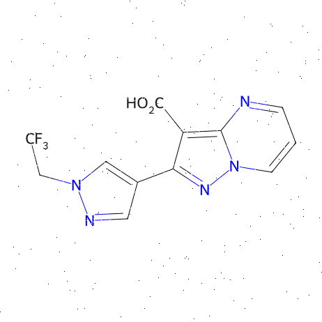 O=C(O)c1c(-c2cnn(CC(F)(F)F)c2)nn2cccnc12